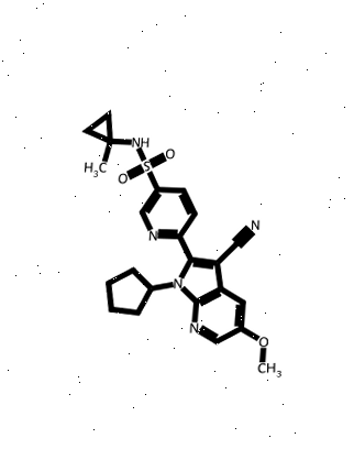 COc1cnc2c(c1)c(C#N)c(-c1ccc(S(=O)(=O)NC3(C)CC3)cn1)n2C1CCCC1